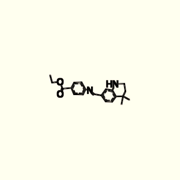 CCOC(=O)c1ccc(N=Cc2ccc3c(c2)NCCC3(C)C)cc1